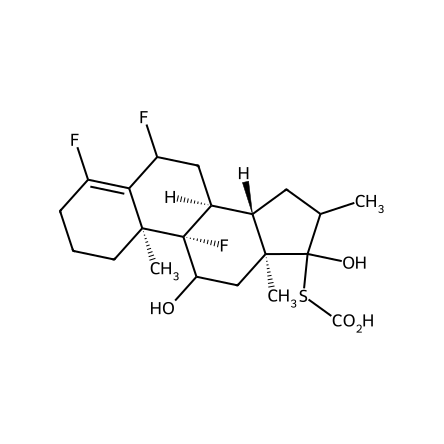 CC1C[C@H]2[C@@H]3CC(F)C4=C(F)CCC[C@]4(C)[C@]3(F)C(O)C[C@]2(C)C1(O)SC(=O)O